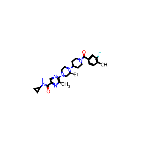 CC[C@H]1CN(c2ncc(C(=O)NC3CC3)nc2C)CCN1C1CCN(C(=O)c2ccc(C)c(F)c2)CC1